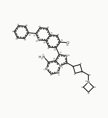 Nc1ncnn2c(C3CC(CN4CCC4)C3)nc(-c3cc4nc(-c5ccccc5)ccc4cc3Cl)c12